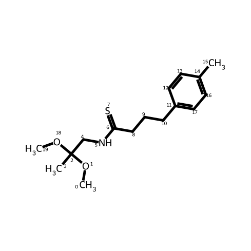 COC(C)(CNC(=S)CCCc1ccc(C)cc1)OC